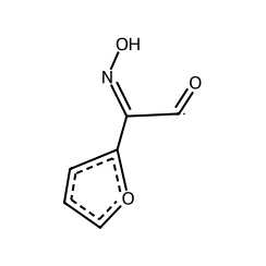 O=[C]/C(=N\O)c1ccco1